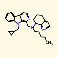 CCCCCN(Cc1nccc2c3ccccc3n(CC3CC3)c12)C1CCCc2cccnc21